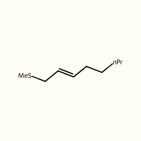 [CH2]CCCCC=CCSC